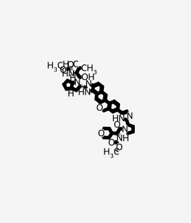 COC(=O)N[C@@H](C(C)C)C(O)N1[C@H](c2nc3ccc4cc5c(cc4c3[nH]2)OCc2cc(-c3cnc(C4CCCN4C(=O)[C@@H](NC(=O)OC)C4CCOCC4)[nH]3)ccc2-5)C[C@@H]2CCC[C@@H]21